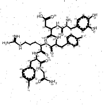 N=C(N)NCCCC(NC(=O)C(Cc1ccc(F)cc1)NC(=O)C(CC(=O)O)NC(=O)C(N)Cc1ccc(O)c(O)c1)C(=O)NC(Cc1ccc(F)cc1)C(=O)NCC(N)=O